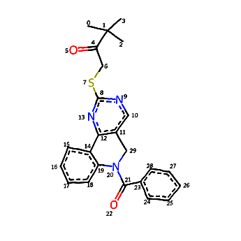 CC(C)(C)C(=O)CSc1ncc2c(n1)-c1ccccc1N(C(=O)c1ccccc1)C2